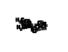 C=N/C(C(=O)NCC(F)c1ccc(-c2cccnc2Cl)cc1Cl)=C(\N=C/C)C(F)(F)F